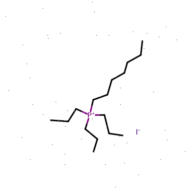 CCCCCCC[P+](CCC)(CCC)CCC.[I-]